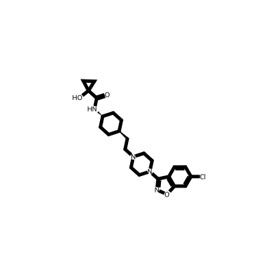 O=C(N[C@H]1CC[C@H](CCN2CCN(c3noc4cc(Cl)ccc34)CC2)CC1)C1(O)CC1